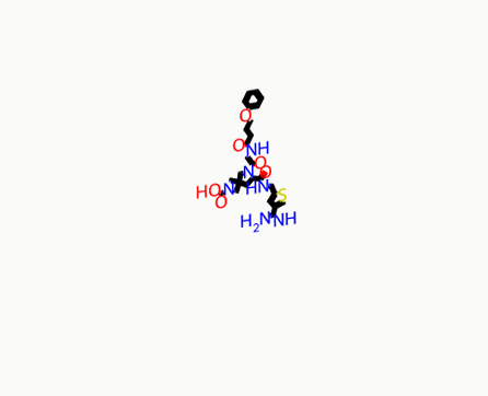 N=C(N)c1csc(CNC(=O)C2CC3(CN(C(=O)O)C3)CN2C(=O)CNC(=O)CCCOc2ccccc2)c1